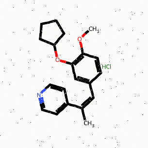 COc1ccc(/C=C(/C)c2ccncc2)cc1OC1CCCC1.Cl